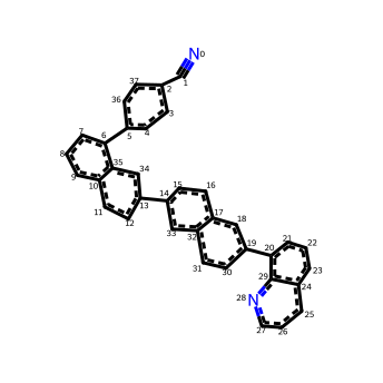 N#Cc1ccc(-c2cccc3ccc(-c4ccc5cc(-c6cccc7cccnc67)ccc5c4)cc23)cc1